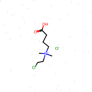 C[N+](C)(CCCl)CCCC(=O)O.[Cl-]